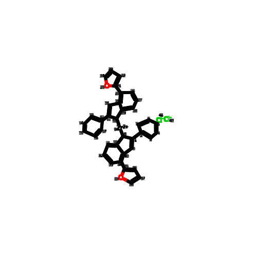 C1=C(c2ccccc2)[CH]([Zr+2][CH]2C(c3ccccc3)=Cc3c(-c4ccco4)cccc32)c2cccc(-c3ccco3)c21.[Cl-].[Cl-]